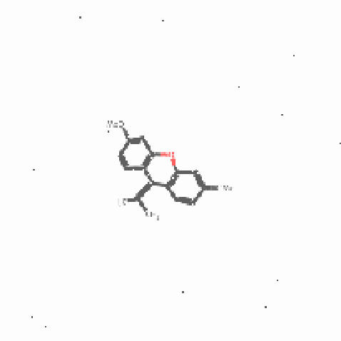 COc1ccc2c(c1)Oc1cc(OC)ccc1C2=C(C)C